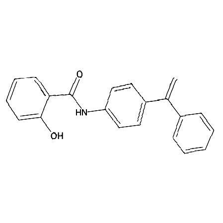 C=C(c1ccccc1)c1ccc(NC(=O)c2ccccc2O)cc1